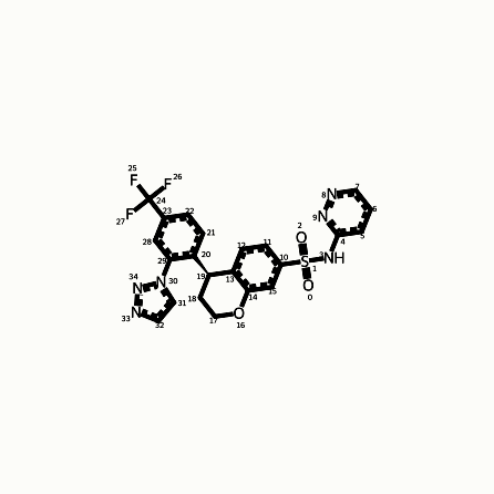 O=S(=O)(Nc1cccnn1)c1ccc2c(c1)OCC[C@H]2c1ccc(C(F)(F)F)cc1-n1ccnn1